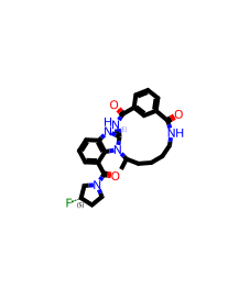 CC1CCCCNC(=O)c2cccc(c2)C(=O)/N=C2\Nc3cccc(C(=O)N4CC[C@H](F)C4)c3N21